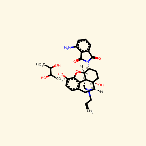 C=CCN1CC[C@]23c4c5ccc(O)c4O[C@H]2[C@H](N2C(=O)c4cccc(N)c4C2=O)CC[C@@]3(O)[C@H]1C5.O=C(O)C(O)C(O)C(=O)O